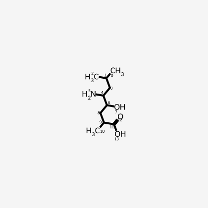 CC(C)CC(N)C(O)CC(C)C(=O)O